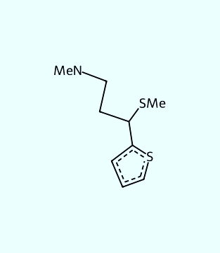 CNCCC(SC)c1cccs1